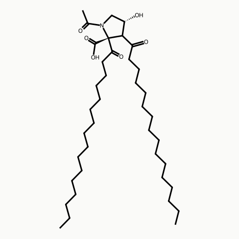 CCCCCCCCCCCCCCCC(=O)C1[C@@H](O)CN(C(C)=O)[C@@]1(C(=O)O)C(=O)CCCCCCCCCCCCCCC